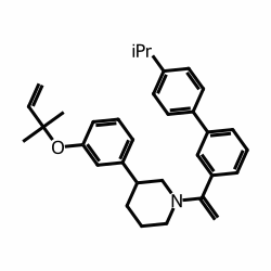 C=CC(C)(C)Oc1cccc(C2CCCN(C(=C)c3cccc(-c4ccc(C(C)C)cc4)c3)C2)c1